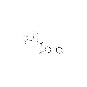 C[C@@H]1CN(CC(=O)N2CC(C)(C)c3ncc(Cc4ccc(F)cc4)cc32)[C@@H](CN2CCOCC2(C)C)CN1